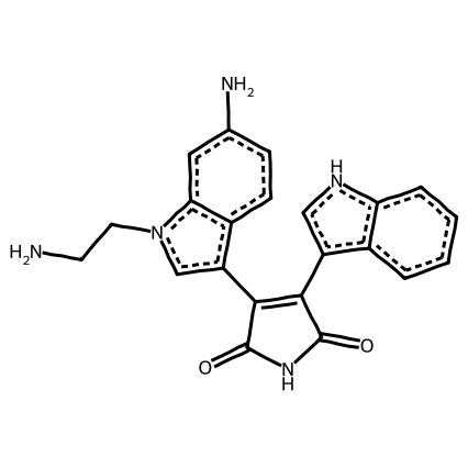 NCCn1cc(C2=C(c3c[nH]c4ccccc34)C(=O)NC2=O)c2ccc(N)cc21